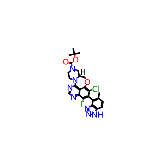 Cc1ccc2[nH]nnc2c1-c1c(Cl)c2c3c(ncnc3c1F)N1CCN(C(=O)OC(C)(C)C)C[C@H]1CO2